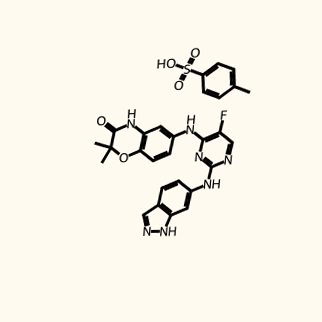 CC1(C)Oc2ccc(Nc3nc(Nc4ccc5cn[nH]c5c4)ncc3F)cc2NC1=O.Cc1ccc(S(=O)(=O)O)cc1